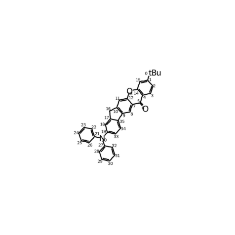 CC(C)(C)c1ccc2c(=O)c3cc4c(cc3oc2c1)Cc1cc(N(c2ccccc2)c2ccccc2)ccc1-4